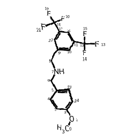 COc1ccc(CNCc2cc(C(F)(F)F)cc(C(F)(F)F)c2)cc1